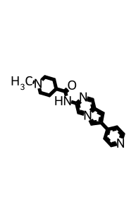 CN1CCC(C(=O)Nc2cn3cc(-c4ccncc4)cc3cn2)CC1